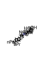 CCCN(CCC)c1ccc2cc(-c3ccc(/C=C(\C#N)S(=O)(=O)NC[C@H]4OCC[C@@H](O)[C@@H]4O)s3)ccc2c1